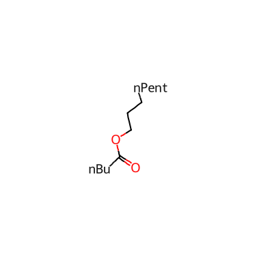 [CH2]CCCC(=O)OCCCCCCCC